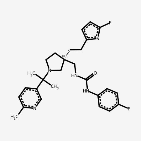 Cc1ccc(C(C)(C)N2CC[C@@](CCc3ccc(F)s3)(CNC(=O)Nc3ccc(F)cc3)C2)cn1